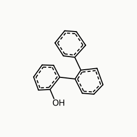 Oc1ccccc1-c1ccccc1-c1ccccc1